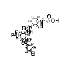 O=C(O)CCn1ncc2c1CCC[C@H]2NCS(=O)(=O)c1cc(C(F)(F)F)cc(S(=O)(=O)c2ccc(Cl)cc2)c1